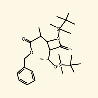 CC(C(=O)OCc1ccccc1)C1C([C@@H](C)O[Si](C)(C)C(C)(C)C)C(=O)N1[Si](C)(C)C(C)(C)C